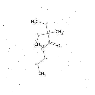 [CH2]C(CC)(CC)C(=O)OCCC